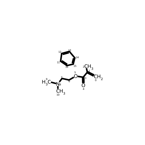 C=C(C)C(=O)OCCN(C)C.c1ccccc1